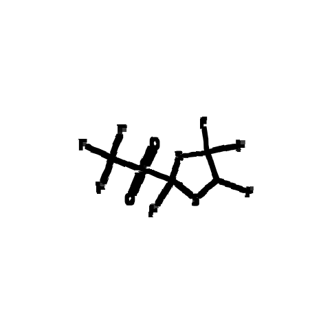 O=S(=O)(C(F)(F)F)C1(F)SC(F)C(F)(F)S1